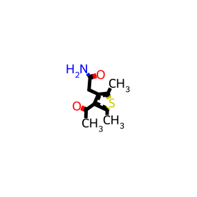 CC(=O)c1c(C)sc(C)c1CC(N)=O